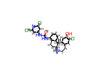 CN1CCc2cc(Cl)c(O)cc2[C@H]2c3cccc(NC(=O)Nc4cc(Cl)nc(Cl)c4)c3CC[C@@H]21